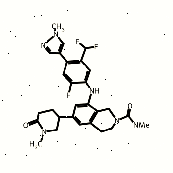 CNC(=O)N1CCc2cc(C3CCC(=O)N(C)C3)cc(Nc3cc(C(F)F)c(-c4cnn(C)c4)cc3F)c2C1